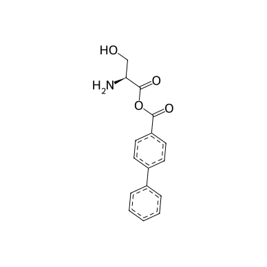 N[C@@H](CO)C(=O)OC(=O)c1ccc(-c2ccccc2)cc1